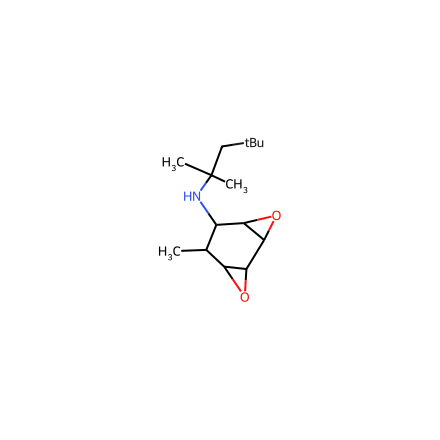 CC1C(NC(C)(C)CC(C)(C)C)C2OC2C2OC12